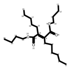 CCCCCCC(C(=O)OCCCC)=C(CCCCC)C(=O)OCCCC